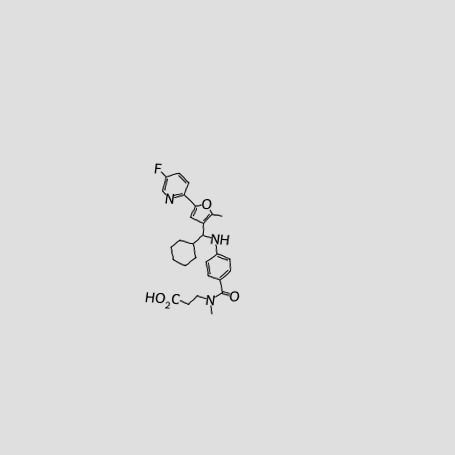 Cc1oc(-c2ccc(F)cn2)cc1C(Nc1ccc(C(=O)N(C)CCC(=O)O)cc1)C1CCCCC1